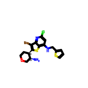 N[C@@H]1COCC[C@@H]1c1sc2c(NCc3cccs3)cc(Cl)nc2c1Br